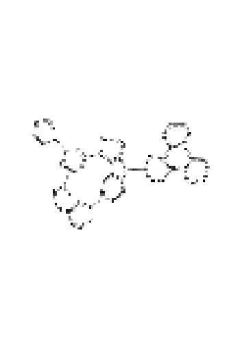 c1ccc(-c2ccc3c(c2)c2c(-c4cc(-c5ccccc5)nc(-c5ccccc5)n4)cccc2n3-c2ccc3c4ccccc4c4ccccc4c3c2)cc1